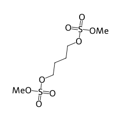 COS(=O)(=O)OCCCCOS(=O)(=O)OC